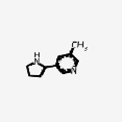 Cc1cncc(C2CCCN2)c1